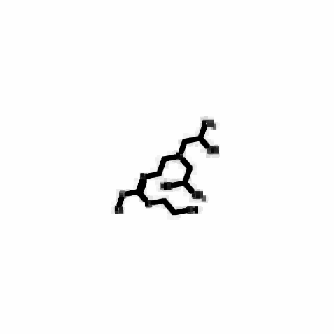 CCOC(=NCCN(CC(C)O)CC(C)O)OCCO